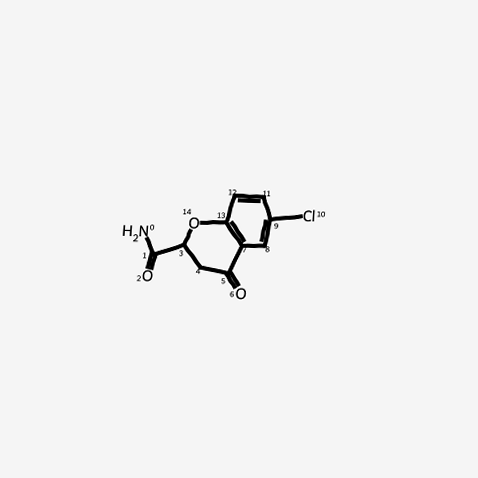 NC(=O)C1CC(=O)c2cc(Cl)ccc2O1